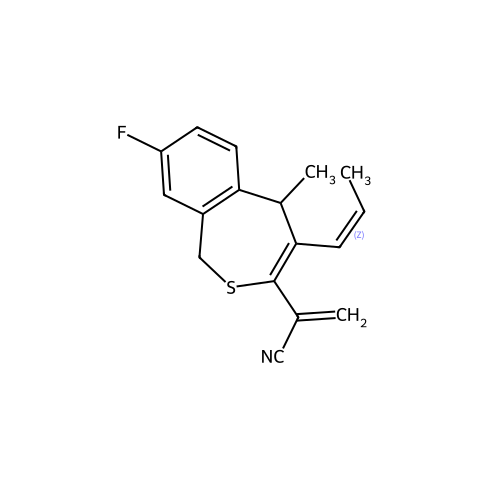 C=C(C#N)C1=C(/C=C\C)C(C)c2ccc(F)cc2CS1